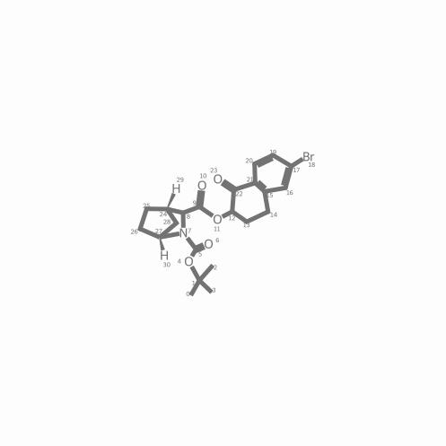 CC(C)(C)OC(=O)N1C(C(=O)OC2CCc3cc(Br)ccc3C2=O)[C@H]2CC[C@@H]1C2